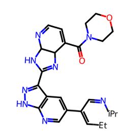 CC/C=C(\C=N/C(C)C)c1cnc2[nH]nc(C3=NC4C(C(=O)N5CCOCC5)=CC=NC4N3)c2c1